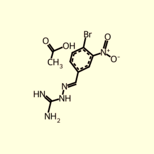 CC(=O)O.N=C(N)N/N=C/c1ccc(Br)c([N+](=O)[O-])c1